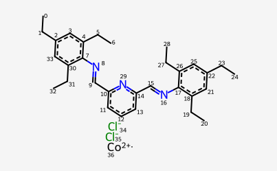 CCc1cc(CC)c(N=Cc2cccc(C=Nc3c(CC)cc(CC)cc3CC)n2)c(CC)c1.[Cl-].[Cl-].[Co+2]